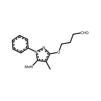 CNc1c(C)c(OCCCC=O)nn1-c1ccccc1